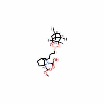 COC(=O)[C@]12CCC(CN1C(=O)O)C2CCCB1O[C@@H]2C[C@@H]3C[C@@H](C3(C)C)[C@]2(C)O1